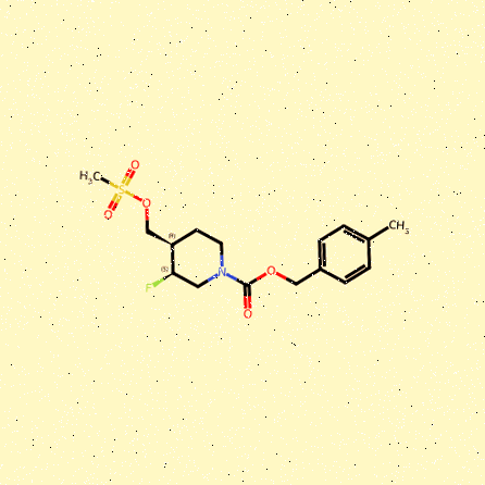 Cc1ccc(COC(=O)N2CC[C@H](COS(C)(=O)=O)[C@H](F)C2)cc1